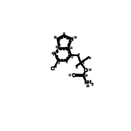 CC(C)(Cc1cc(Cl)nn2ccnc12)OC(N)=O